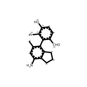 Cc1cc(N)c2c(c1-c1c(C=O)ccc(O)c1C(C)C)CCC2